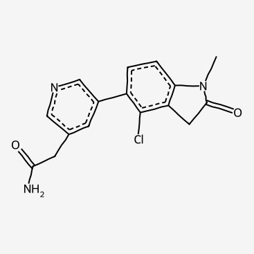 CN1C(=O)Cc2c1ccc(-c1cncc(CC(N)=O)c1)c2Cl